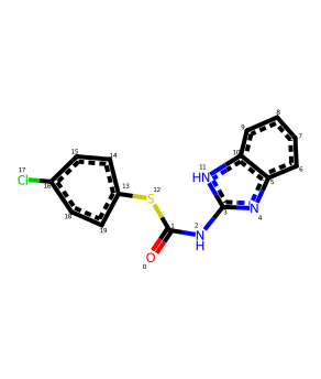 O=C(Nc1nc2ccccc2[nH]1)Sc1ccc(Cl)cc1